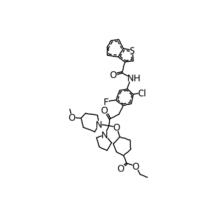 CCOC(=O)C1CCC(OC(C(=O)Cc2cc(Cl)c(NC(=O)c3csc4ccccc34)cc2F)(N2CCCC2)N2CCC(OC)CC2)CC1